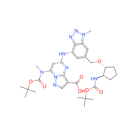 CN(C(=O)OC(C)(C)C)c1cc(Nc2cc(CO[C@@H]3CCC[C@H]3NC(=O)OC(C)(C)C)cc3c2nnn3C)nc2c(C(=O)O)cnn12